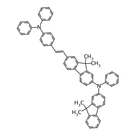 CC1(C)c2ccccc2-c2ccc(N(c3ccccc3)c3ccc4c(c3)C(C)(C)c3cc(/C=C/c5ccc(N(c6ccccc6)c6ccccc6)cc5)ccc3-4)cc21